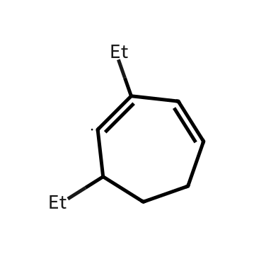 CCC1=[C]C(CC)CCC=C1